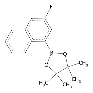 CC1(C)OB(c2cc(F)cc3ccccc23)OC1(C)C